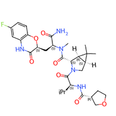 CC(C)[C@H](NC(=O)[C@@H]1CCOC1)C(=O)N1C[C@H]2[C@@H]([C@H]1C(=O)N(C)[C@@H](C[C@@H]1Oc3ccc(F)cc3NC1=O)C(N)=O)C2(C)C